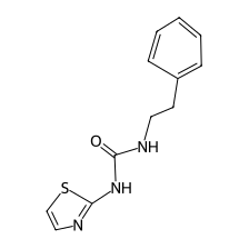 O=C(NCCc1ccccc1)Nc1nccs1